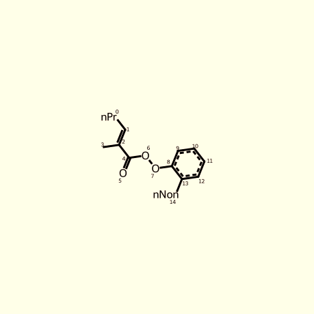 CCCC=C(C)C(=O)OOc1ccccc1CCCCCCCCC